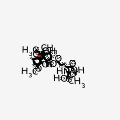 COc1ccc(C)c2c1O[C@H]1C(OC(=O)CC[C@H](NC(=O)[C@H](C)O)C(=O)O)=CC[C@@]3(O)[C@@H](C)N(C)CC[C@]213